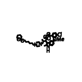 COc1ccc2[nH]c(C)c(C(C(=O)OC(=O)c3ccc(Cl)cc3)C(C)CN3CCN(CCCCCCOC4CCCCO4)CC3)c2c1